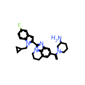 C=C(c1cc2c3c(c1)nc(-c1cc4cc(F)ccc4n1CC1CC1)n3CCC2)N1CCCC(N)C1